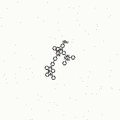 CC(C)(C)c1ccc2c(c1)c1ccccc1n2-c1ccc(-c2nc(-c3ccccc3)nc(-c3ccccc3)n2)cc1-c1nc(-c2ccccc2)cc(-c2ccc(-c3ccc(N4c5ccccc5B5c6ccccc6N(c6ccccc6)c6cccc4c65)cc3)cc2)n1